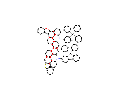 c1ccc(-c2ccccc2N(c2ccc3c(c2)C(c2ccccc2)(c2ccccc2)c2ccccc2-3)c2ccc(-c3cccc(-c4ccccc4N(c4ccc5c(c4)C(c4ccccc4)(c4ccccc4)c4ccccc4-5)c4ccccc4-c4ccc5oc6ccccc6c5c4)c3)cc2-c2ccc3sc4ccccc4c3c2)cc1